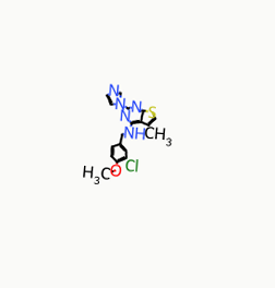 COc1ccc(CNc2nc(-n3ccnc3)nc3scc(C)c23)cc1Cl